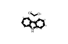 ClCCl.c1ccc2c(c1)[nH]c1ccccc12